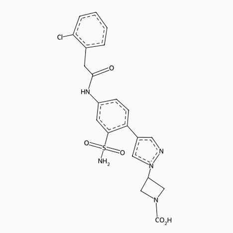 NS(=O)(=O)c1cc(NC(=O)Cc2ccccc2Cl)ccc1-c1cnn(C2CN(C(=O)O)C2)c1